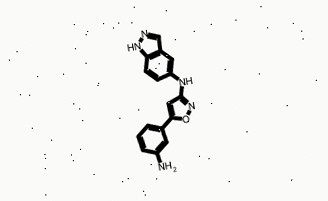 Nc1cccc(-c2cc(Nc3ccc4[nH]ncc4c3)no2)c1